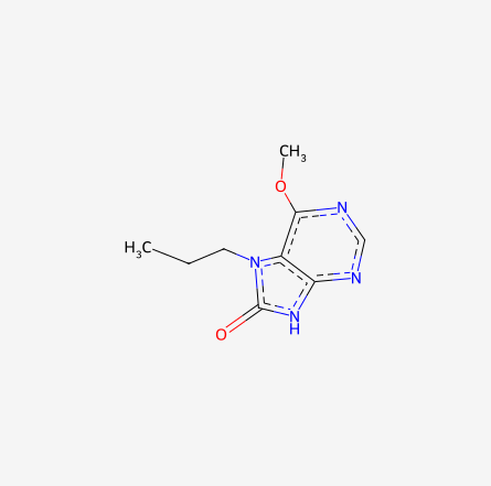 CCCn1c(=O)[nH]c2ncnc(OC)c21